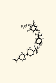 C=CC1COC(C2CCC(C(F)(F)Oc3ccc(C(F)(F)Oc4cc(F)c(OC(F)(F)F)c(F)c4)cc3)CC2)OC1